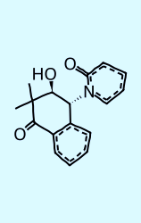 CC1(C)C(=O)c2ccccc2[C@@H](n2ccccc2=O)[C@@H]1O